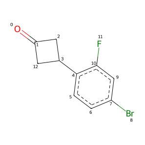 O=C1CC(c2ccc(Br)cc2F)C1